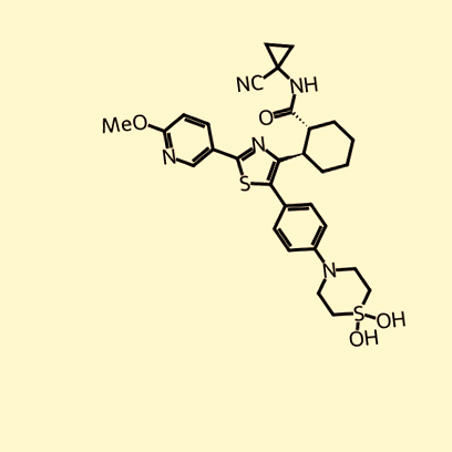 COc1ccc(-c2nc([C@@H]3CCCC[C@H]3C(=O)NC3(C#N)CC3)c(-c3ccc(N4CCS(O)(O)CC4)cc3)s2)cn1